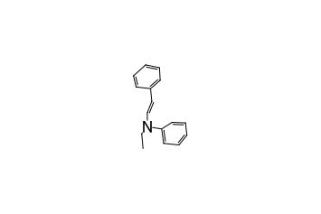 CCN(C=Cc1ccccc1)c1ccccc1